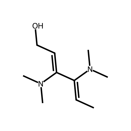 CC=C(C(=CCO)N(C)C)N(C)C